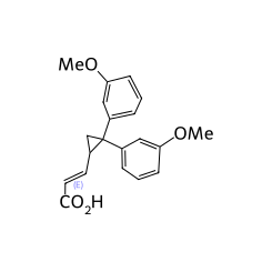 COc1cccc(C2(c3cccc(OC)c3)CC2/C=C/C(=O)O)c1